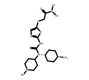 CCN(CC)C(=O)CSc1cnc(NC(=O)N(C2CCN(C(C)=O)CC2)[C@H]2CC[C@H](C)CC2)s1